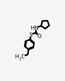 CCc1ccc(SC(=O)NC2CCCC2)cc1